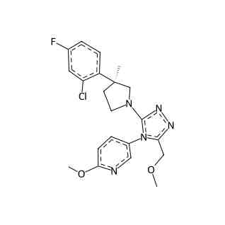 COCc1nnc(N2CC[C@@](C)(c3ccc(F)cc3Cl)C2)n1-c1ccc(OC)nc1